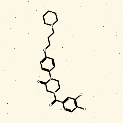 O=C(c1ccc(Cl)c(Cl)c1)N1CCN(c2ccc(OCCCN3CCCCC3)cc2)C(=O)C1